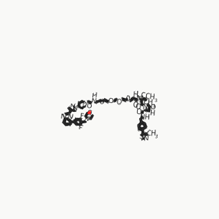 Cc1ncsc1-c1ccc(CNC(=O)[C@@H]2C[C@@H](O)CN2C(=O)[C@@H](NC(=O)CCOCCOCCOCCOCCNC(=O)CN2CCC(n3cc(-c4cnc5cccc(-c6cc(F)c(CN7CCOCC7)c(F)c6)c5n4)cn3)CC2)C(C)(C)C)cc1